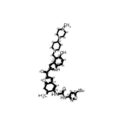 CC1Cc2oc(C(=O)c3cc4c(CN5CCC(N6CCN(C)CC6)CC5)c(O)ccc4[nH]3)cc2C=C1NC(=O)Nc1cc(C(C)(C)C)on1